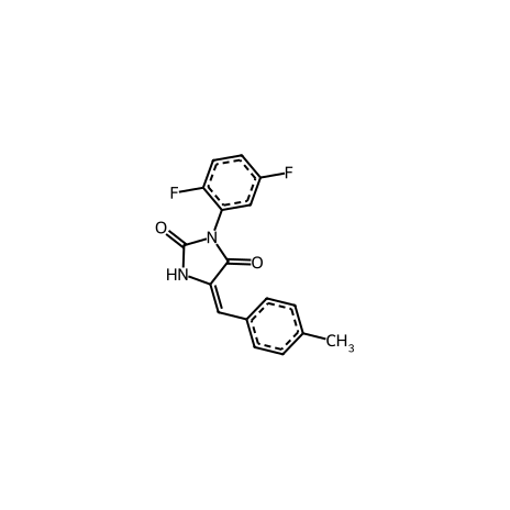 Cc1ccc(C=C2NC(=O)N(c3cc(F)ccc3F)C2=O)cc1